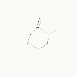 CN1C[C@H](F)[C@H](N)CC1=O.Cl